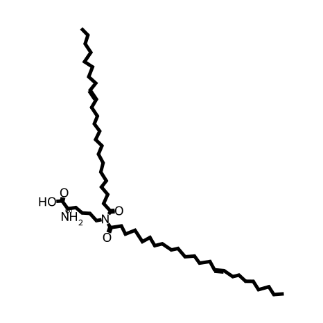 CCCCCCCCC=CCCCCCCCCCCCCCC(=O)N(CCCC[C@H](N)C(=O)O)C(=O)CCCCCCCCCCCCCC=CCCCCCCCC